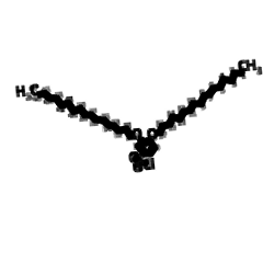 CCCCCCCCCCCCCCCCCCOc1ccc(S(=O)(=O)Cl)cc1OCCCCCCCCCCCCCCCCCC